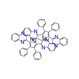 C[Si]1(CC[Si]2(C)C(c3cnc4ccccc4n3)=C(c3ccccc3)C(c3ccccc3)=C2c2cnc3ccccc3n2)C(c2cnc3ccccc3n2)=C(c2ccccc2)C(c2ccccc2)=C1c1cnc2ccccc2n1